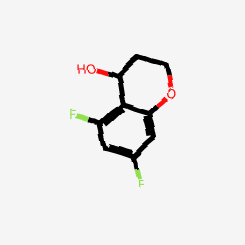 OC1CCOc2cc(F)cc(F)c21